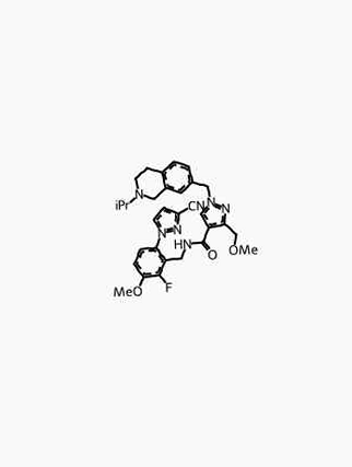 COCc1nn(Cc2ccc3c(c2)CN(C(C)C)CC3)cc1C(=O)NCc1c(-n2ccc(C#N)n2)ccc(OC)c1F